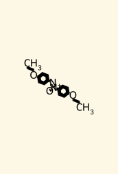 CCCOc1ccc(N=[N+]([O-])c2ccc(OCCC)cc2)cc1